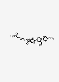 Nc1cnc(N2CCN(c3ncc(C(=O)NCCOCCC(=O)O)cn3)CC2CO)nc1